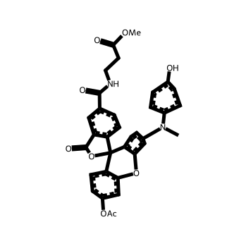 COC(=O)CCNC(=O)c1ccc2c(c1)C(=O)OC21c2ccc(OC(C)=O)cc2Oc2cc(N(C)c3ccc(O)cc3)ccc21